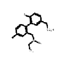 CC(=O)N(Cc1cc(C)ccc1-c1cc(CC(=O)O)ccc1F)CC(F)(F)F